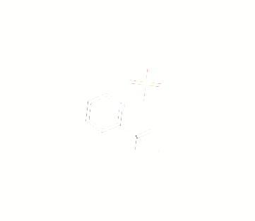 O=C(O)c1ccccn1.O=S(=O)([O-])[O-].[Fe+2]